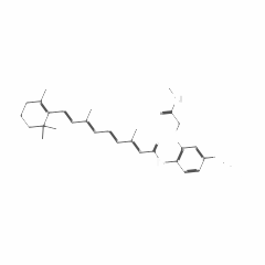 CNC(=O)COc1cc(OP)ccc1NC(=O)/C=C(C)/C=C/C=C(C)/C=C/C1=C(C)CCCC1(C)C